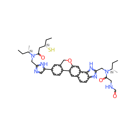 CC[C@H](S)CC(=O)N(Cc1ncc(-c2ccc3c(c2)COc2cc4c(ccc5nc(CN(C(=O)CNC=O)[C@@H](C)CC)[nH]c54)cc2-3)[nH]1)[C@@H](C)CC